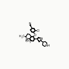 CC1CCc2c(ccc(-c3cnn(C4CCNCC4)c3)c2Oc2ccc(C#N)cc2Cl)N1C